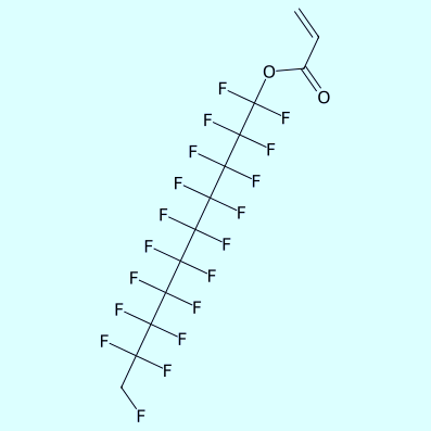 C=CC(=O)OC(F)(F)C(F)(F)C(F)(F)C(F)(F)C(F)(F)C(F)(F)C(F)(F)C(F)(F)C(F)(F)CF